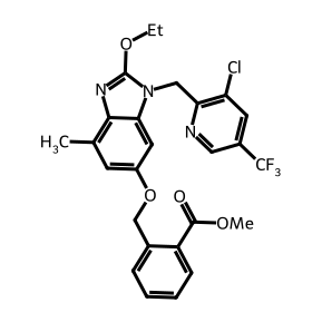 CCOc1nc2c(C)cc(OCc3ccccc3C(=O)OC)cc2n1Cc1ncc(C(F)(F)F)cc1Cl